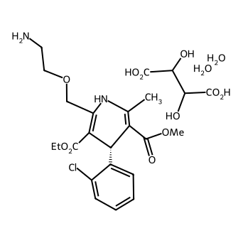 CCOC(=O)C1=C(COCCN)NC(C)=C(C(=O)OC)[C@@H]1c1ccccc1Cl.O.O.O=C(O)C(O)C(O)C(=O)O